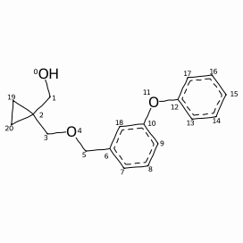 OCC1(COCc2cccc(Oc3ccccc3)c2)CC1